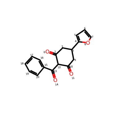 O=C1CC(c2ccco2)CC(=O)C1C(=O)c1ccccc1